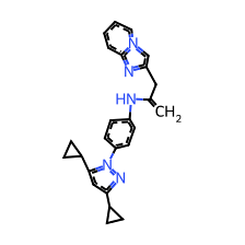 C=C(Cc1cn2ccccc2n1)Nc1ccc(-n2nc(C3CC3)cc2C2CC2)cc1